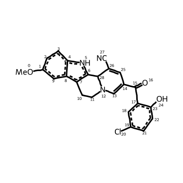 COc1ccc2[nH]c3c(c2c1)CCN1C=C(C(=O)c2cc(Cl)ccc2O)C=C(C#N)C31